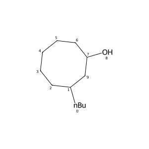 CCCCC1CCCCCC(O)C1